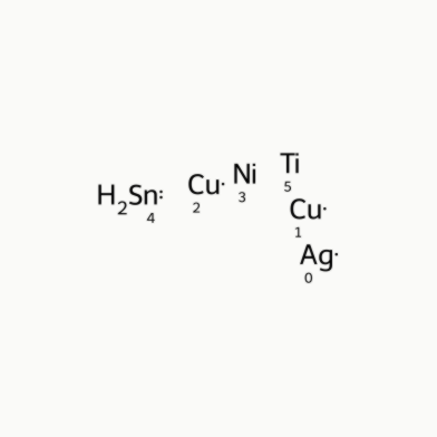 [Ag].[Cu].[Cu].[Ni].[SnH2].[Ti]